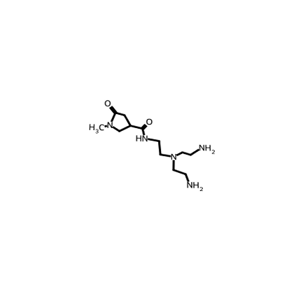 CN1CC(C(=O)NCCN(CCN)CCN)CC1=O